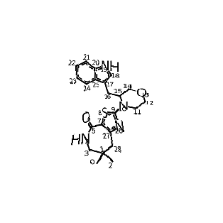 CC1(C)CNC(=O)c2sc(N3CCOCC3Cc3c[nH]c4ccccc34)nc2C1